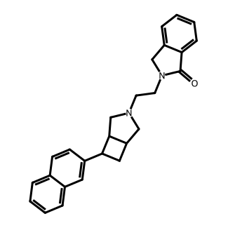 O=C1c2ccccc2CN1CCN1CC2CC(c3ccc4ccccc4c3)C2C1